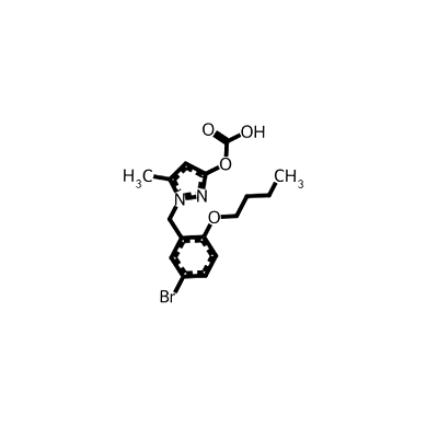 CCCCOc1ccc(Br)cc1Cn1nc(OC(=O)O)cc1C